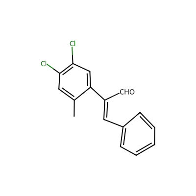 Cc1cc(Cl)c(Cl)cc1C(C=O)=Cc1ccccc1